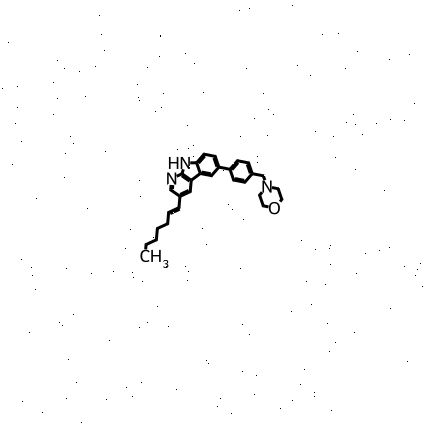 CCCCCC=Cc1cnc2[nH]c3ccc(-c4ccc(CN5CCOCC5)cc4)cc3c2c1